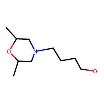 CC1CN(CCCC[O])CC(C)O1